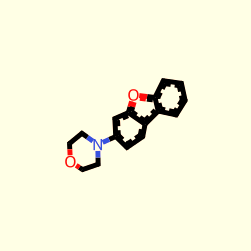 c1ccc2c(c1)oc1cc(N3CCOCC3)ccc12